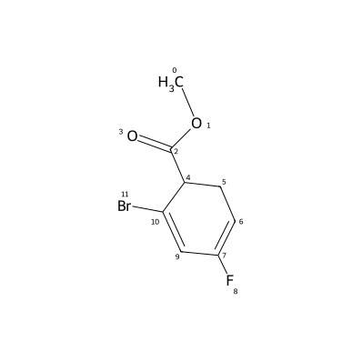 COC(=O)C1CC=C(F)C=C1Br